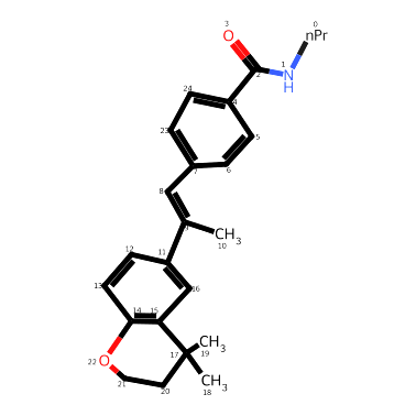 CCCNC(=O)c1ccc(/C=C(\C)c2ccc3c(c2)C(C)(C)CCO3)cc1